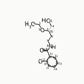 CCO[C@H](CO)CCNC(=O)c1ccccc1Cl